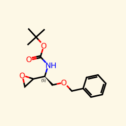 CC(C)(C)OC(=O)N[C@@H](COCc1ccccc1)C1CO1